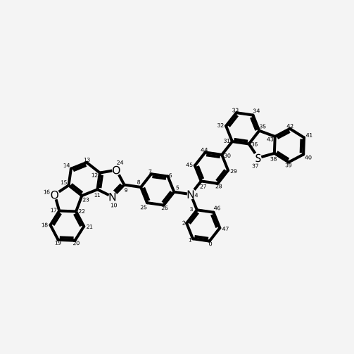 c1ccc(N(c2ccc(-c3nc4c(ccc5oc6ccccc6c54)o3)cc2)c2ccc(-c3cccc4c3sc3ccccc34)cc2)cc1